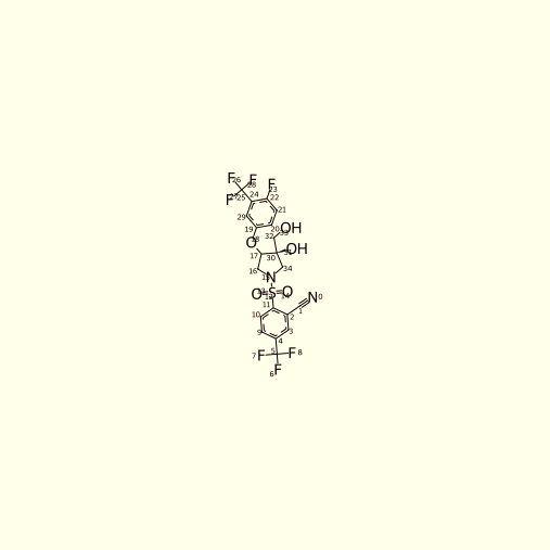 N#Cc1cc(C(F)(F)F)ccc1S(=O)(=O)N1CC(Oc2ccc(F)c(C(F)(F)F)c2)[C@](O)(CO)C1